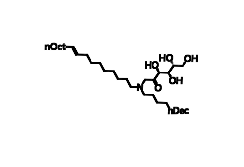 CCCCCCCCC=CCCCCCCCCN(CCCCCCCCCCCCCC)CC(=O)[C@@H](O)[C@H](O)[C@H](O)CO